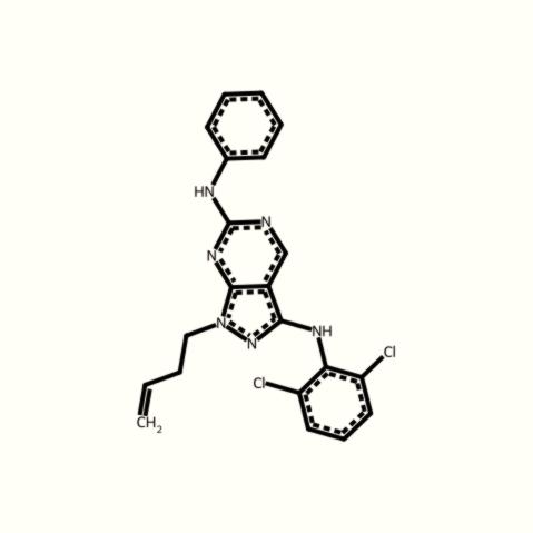 C=CCCn1nc(Nc2c(Cl)cccc2Cl)c2cnc(Nc3ccccc3)nc21